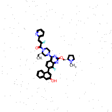 CN1CCC[C@H]1COc1nc(N2CCN(C(=O)/C(F)=C/c3ccccn3)[C@@H](CC#N)C2)c2ccc(-c3cc(O)cc4ccccc34)c(F)c2n1